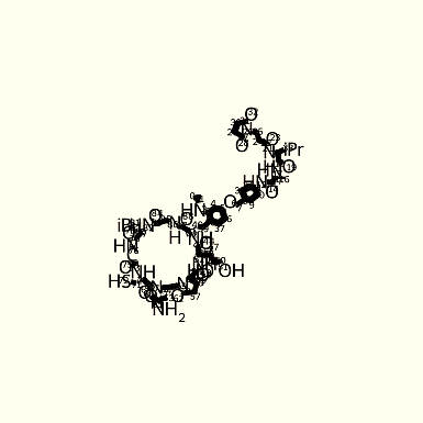 C#CNc1cc(OCc2ccc(NC(=O)[C@H](C)NC(=O)C(NC(=O)CCN3C(=O)C=CC3=O)C(C)C)cc2)ccc1CC[C@@H]1NC(=O)[C@H]([C@@H](C)[C@@H](O)CO)NC(=O)[C@@H]2CCCN2C(=O)[C@H](CC(N)=O)NC(=O)[C@H](CS)NC(=O)CNC(=O)[C@H]([C@@H](C)CC)NC(=O)CNC1=O